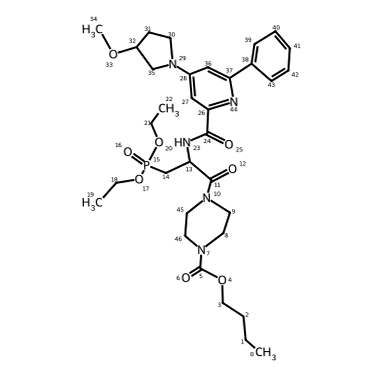 CCCCOC(=O)N1CCN(C(=O)C(CP(=O)(OCC)OCC)NC(=O)c2cc(N3CCC(OC)C3)cc(-c3ccccc3)n2)CC1